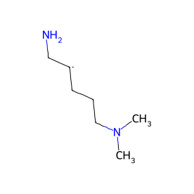 CN(C)CCC[CH]CN